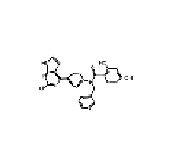 O=C(c1ccc(O)cc1O)N(Cc1cccnc1)c1ccc(-c2nc(Cl)nc3[nH]ccc23)cc1